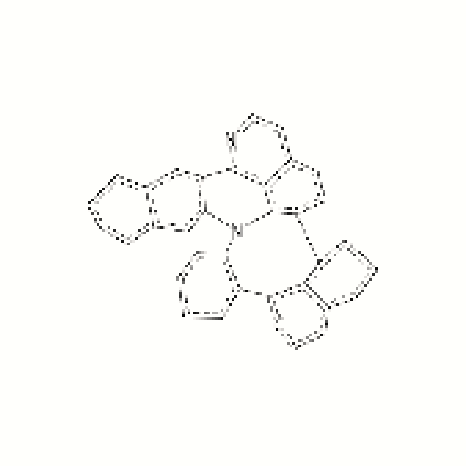 c1ccc2c(c1)-c1cccc3cccc(c13)-c1ccc3ccnc4c3c1N2c1cc2ccccc2cc1-4